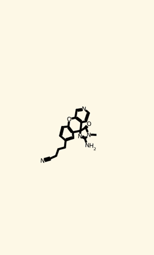 CN1C(=O)C2(N=C1N)c1ccncc1Oc1ccc(CCCC#N)cc12